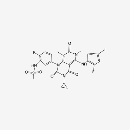 Cc1c(=O)n(C)c(Nc2ccc(I)cc2F)c2c(=O)n(C3CC3)c(=O)n(-c3ccc(F)c(NS(C)(=O)=O)c3)c12